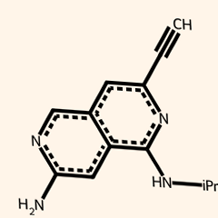 C#Cc1cc2cnc(N)cc2c(NC(C)C)n1